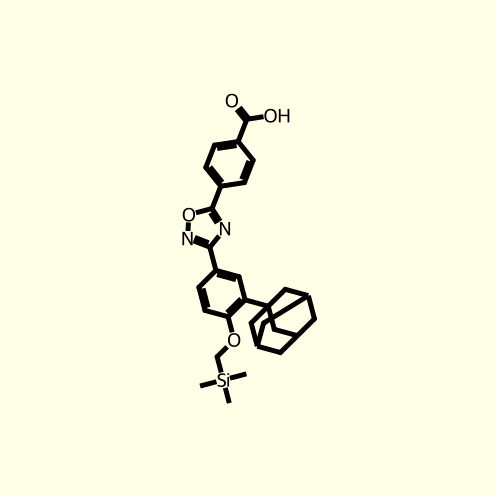 C[Si](C)(C)COc1ccc(-c2noc(-c3ccc(C(=O)O)cc3)n2)cc1C12CC3CC(CC(C3)C1)C2